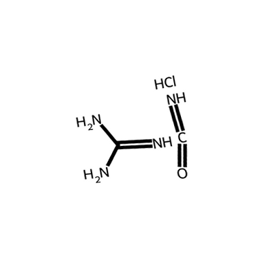 Cl.N=C(N)N.N=C=O